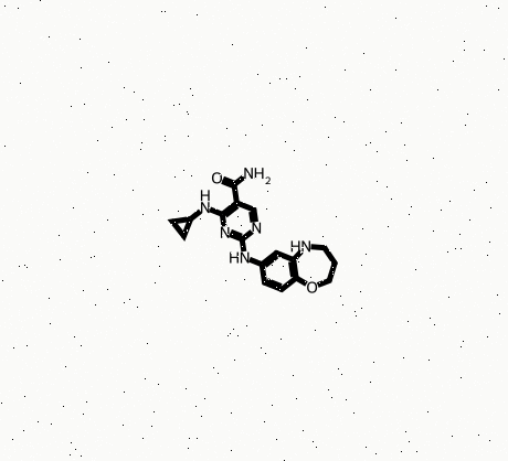 NC(=O)c1cnc(Nc2ccc3c(c2)NCCCO3)nc1NC1CC1